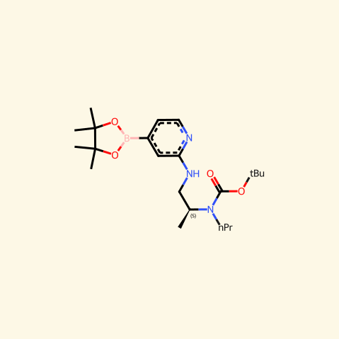 CCCN(C(=O)OC(C)(C)C)[C@@H](C)CNc1cc(B2OC(C)(C)C(C)(C)O2)ccn1